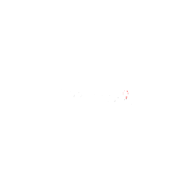 CCCCCCCCCCCCCCCCCC(=O)CC